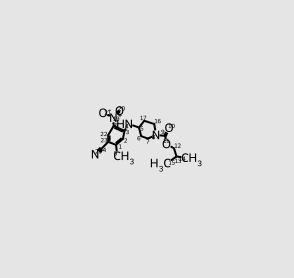 Cc1cc(NC2CCN(C(=O)OCC(C)C)CC2)c([N+](=O)[O-])cc1C#N